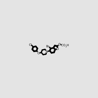 O=C(O)Oc1cc2c(Br)c(N3CCC(Oc4ccc(Cl)cc4)CC3)ccc2o1